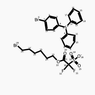 Brc1ccc([S+](c2ccccc2)c2ccccc2)cc1.O=C(OCCCCCCBr)C(F)(F)S(=O)(=O)[O-]